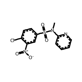 CN(c1ccccn1)S(=O)(=O)c1ccc(Cl)c([N+](=O)[O-])c1